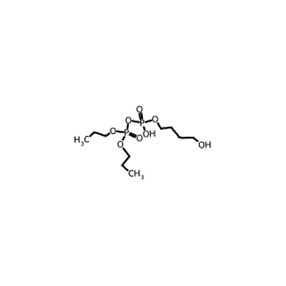 CCCOP(=O)(OCCC)OP(=O)(O)OCCCCO